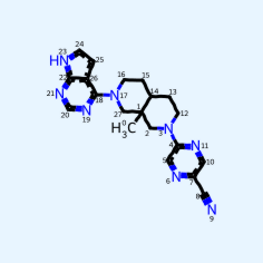 CC12CN(c3cnc(C#N)cn3)CCC1CCN(c1ncnc3[nH]ccc13)C2